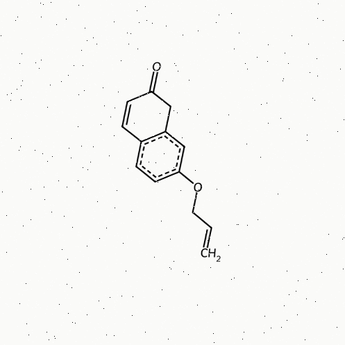 C=CCOc1ccc2c(c1)CC(=O)C=C2